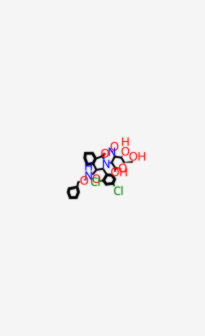 O=N[C@@H]1C(N2C(=O)c3ccccc3C(C(=O)NOCc3ccccc3)C2c2ccc(Cl)cc2Cl)C(O)O[C@H](CO)[C@H]1O